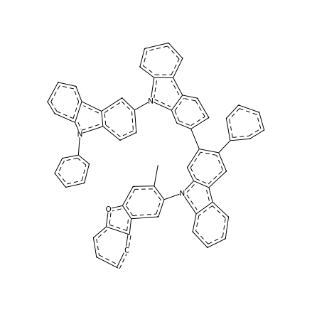 Cc1cc2oc3ccccc3c2cc1-n1c2ccccc2c2cc(-c3ccccc3)c(-c3ccc4c5ccccc5n(-c5ccc6c(c5)c5ccccc5n6-c5ccccc5)c4c3)cc21